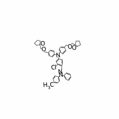 Cc1ccc(N(N=Cc2ccc(N(c3ccc(COCC45CCCC4O5)cc3)c3ccc(COCC45CCCC4O5)cc3)cc2Cl)c2ccccc2)cc1